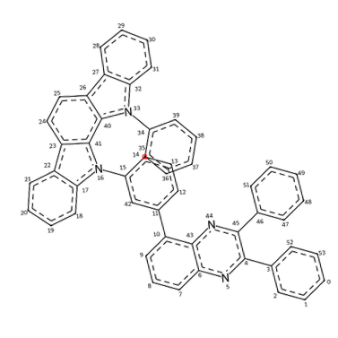 c1ccc(-c2nc3cccc(-c4cccc(-n5c6ccccc6c6ccc7c8ccccc8n(-c8ccccc8)c7c65)c4)c3nc2-c2ccccc2)cc1